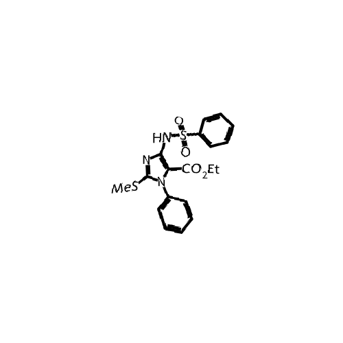 CCOC(=O)c1c(NS(=O)(=O)c2ccccc2)nc(SC)n1-c1ccccc1